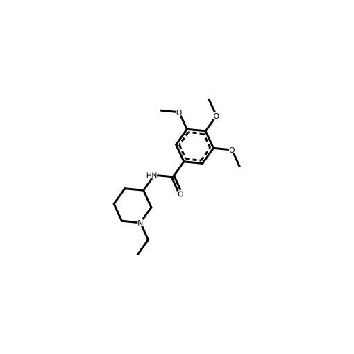 CCN1CCCC(NC(=O)c2cc(OC)c(OC)c(OC)c2)C1